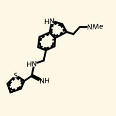 CNCCc1c[nH]c2ccc(CNC(=N)c3cccs3)cc12